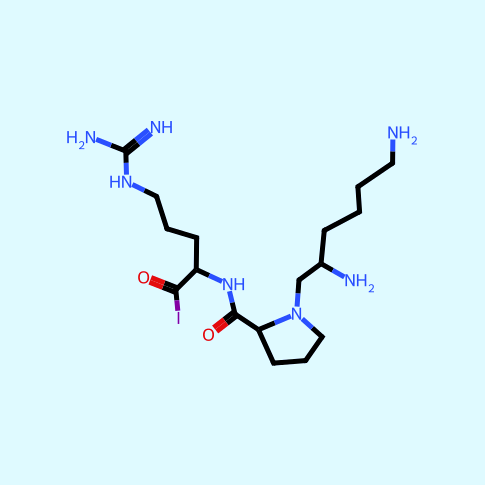 N=C(N)NCCCC(NC(=O)C1CCCN1CC(N)CCCCN)C(=O)I